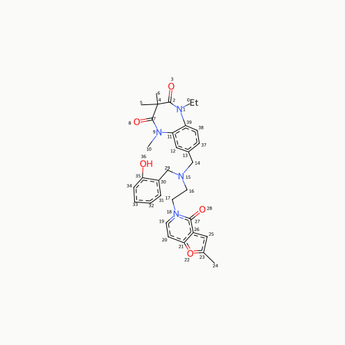 CCN1C(=O)C(C)(C)C(=O)N(C)c2cc(CN(CCn3ccc4oc(C)cc4c3=O)Cc3ccccc3O)ccc21